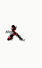 COc1cc2c(cc1OCc1cc(COc3cc4c(cc3OC)C(=O)N3c5ccccc5C[C@H]3C=N4)cc(OCCOCCOCCOCCC(C)=O)c1)N=C[C@@H]1Cc3ccccc3N1C2=O